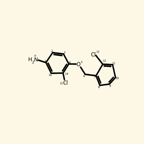 Nc1ccc(OCc2ccccc2Cl)c(Cl)c1